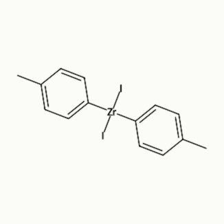 Cc1cc[c]([Zr]([I])([I])[c]2ccc(C)cc2)cc1